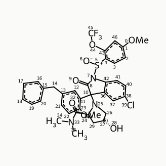 COc1ccc([S+]([O-])N2C(=O)C(c3cc(Cc4ccccc4)ccc3OC)(N3C[C@H](O)C[C@H]3C(=O)N(C)C)c3cc(Cl)ccc32)c(OC(F)(F)F)c1